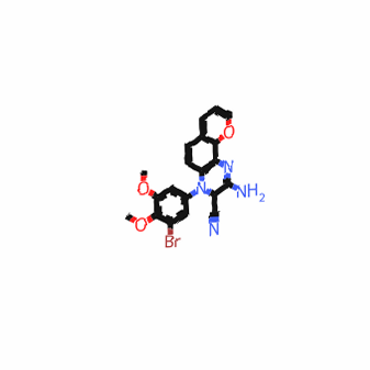 COc1cc(N2C3=C(N=C(N)C2C#N)C2OC=CC=C2C=C3)cc(Br)c1OC